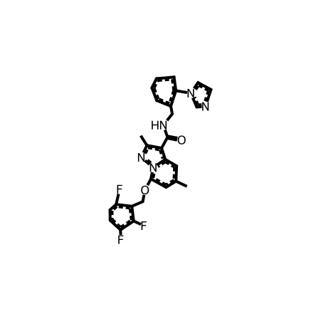 Cc1cc(OCc2c(F)ccc(F)c2F)n2nc(C)c(C(=O)NCc3ccccc3-n3ccnc3)c2c1